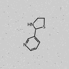 c1cncc(C2NCCS2)c1